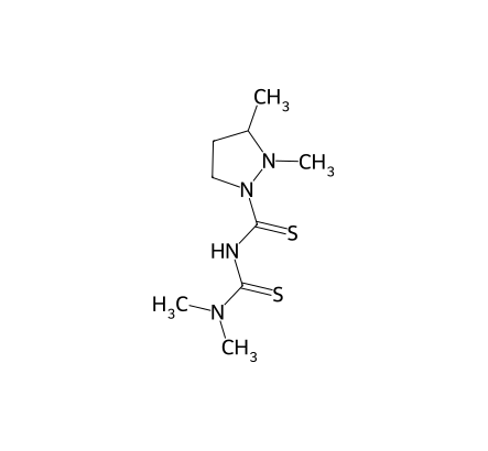 CC1CCN(C(=S)NC(=S)N(C)C)N1C